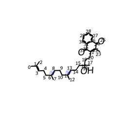 CC(C)=CCC/C(C)=C/CC/C(C)=C/CCC(C)(O)CCC1=C(C)C(=O)c2ccccc2C1=O